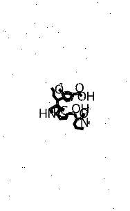 CCCC(c1ccc(C(=O)O)cc1OC)c1c[nH]c2ccc(C(O)C3CCCN(C)C3=O)cc12